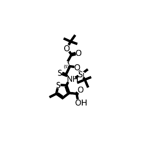 Cc1cc(C(=O)O)c(NC(=S)[C@H](CC(=O)OC(C)(C)C)O[Si](C)(C)C(C)(C)C)s1